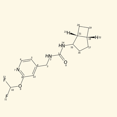 O=C(NCc1ccnc(OC(F)F)c1)NC1CC[C@H]2CC[C@@H]12